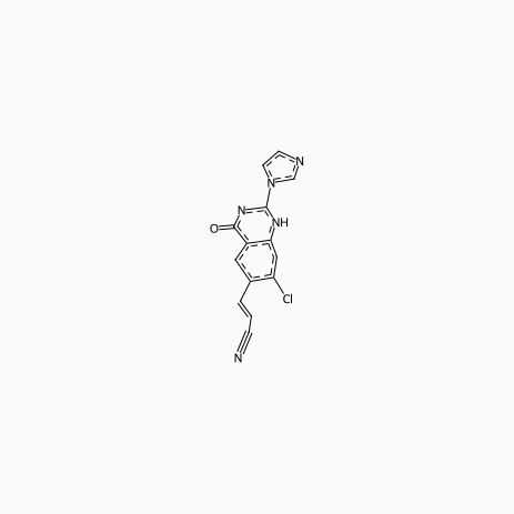 N#C/C=C/c1cc2c(=O)nc(-n3ccnc3)[nH]c2cc1Cl